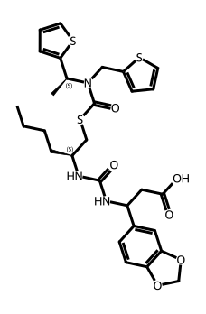 CCCC[C@@H](CSC(=O)N(Cc1cccs1)[C@@H](C)c1cccs1)NC(=O)NC(CC(=O)O)c1ccc2c(c1)OCO2